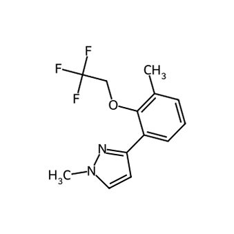 Cc1cccc(-c2ccn(C)n2)c1OCC(F)(F)F